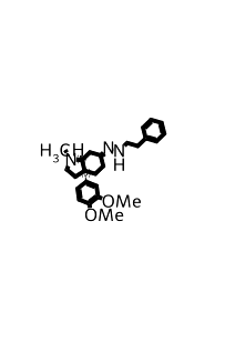 COc1ccc([C@@]23CCC(=NNCCc4ccccc4)C[C@@H]2N(C)CC3)cc1OC